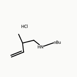 C=CC(C)CNCCCC.Cl